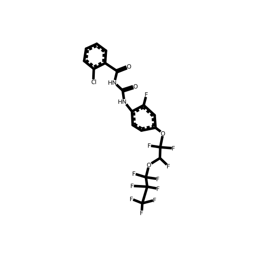 O=C(NC(=O)c1ccccc1Cl)Nc1ccc(OC(F)(F)C(F)OC(F)(F)C(F)(F)C(F)(F)F)cc1F